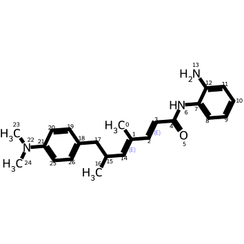 CC(/C=C/C(=O)Nc1ccccc1N)=C\C(C)Cc1ccc(N(C)C)cc1